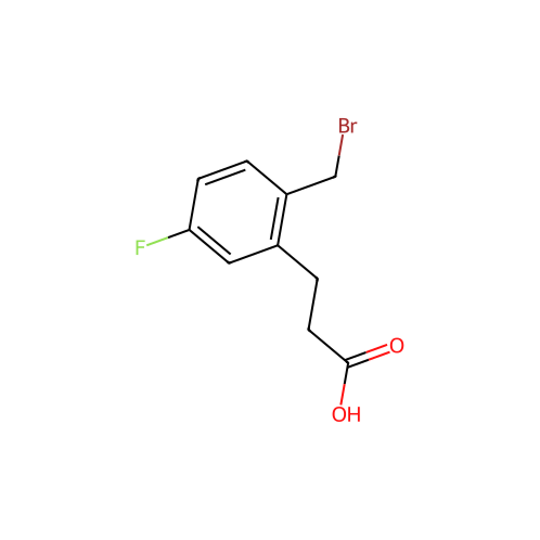 O=C(O)CCc1cc(F)ccc1CBr